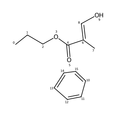 CCCOC(=O)C(C)=CO.c1ccccc1